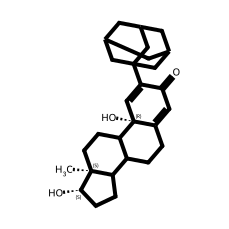 C[C@]12CCC3C(CCC4=CC(=O)C(C56CC7CC(CC(C7)C5)C6)=C[C@@]43O)C1CC[C@@H]2O